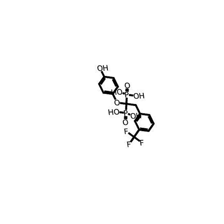 O=P(O)(O)C(Cc1cccc(C(F)(F)F)c1)(Oc1ccc(O)cc1)P(=O)(O)O